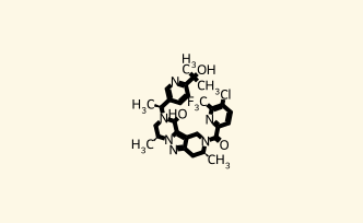 C[C@@H]1Cc2nn3c(c2CN1C(=O)c1ccc(Cl)c(C(F)(F)F)n1)C(O)N([C@@H](C)c1ccc(C(C)(C)O)nc1)C[C@H]3C